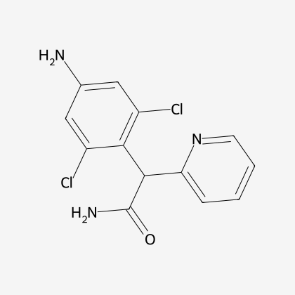 NC(=O)C(c1ccccn1)c1c(Cl)cc(N)cc1Cl